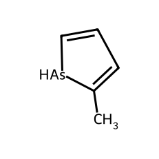 CC1=CC=C[AsH]1